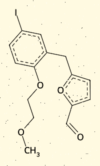 COCCOc1ccc(I)cc1Cc1ccc(C=O)o1